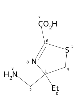 CCC1(CN)CSC(C(=O)O)=N1